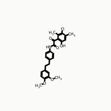 COc1ccc(CCc2ccc(NC(=O)C(=O)c3c(O)cc(C)c(Cl)c3C)cc2)cc1OC